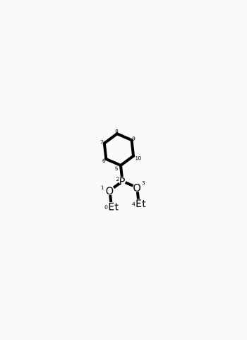 CCOP(OCC)C1CCCCC1